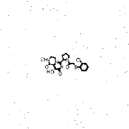 CCN1CCn2c(C3CCCN3C(=O)CSc3ccccc3Cl)nc(=O)c(O)c2C1=O